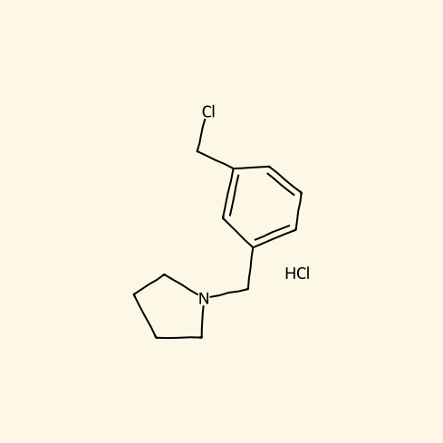 Cl.ClCc1cccc(CN2CCCC2)c1